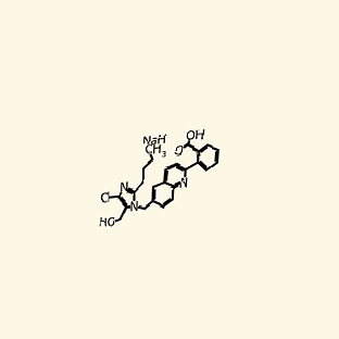 CCCCc1nc(Cl)c(CO)n1Cc1ccc2nc(-c3ccccc3C(=O)O)ccc2c1.[NaH]